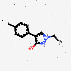 Cc1ccc(-c2cn(CC(C)C)nc2O)cc1